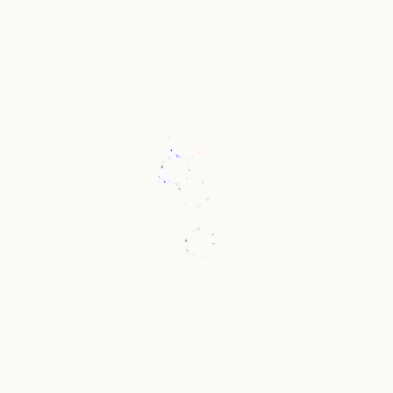 CCCn1cnc2cc(-c3cccc(F)c3)ccc2c1=O